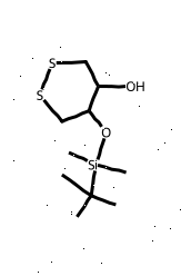 CC(C)(C)[Si](C)(C)OC1CSSCC1O